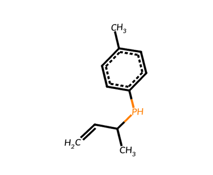 C=CC(C)Pc1ccc(C)cc1